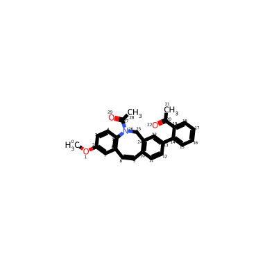 COc1ccc2c(c1)C=Cc1ccc(-c3ccccc3C(C)=O)cc1CN2C(C)=O